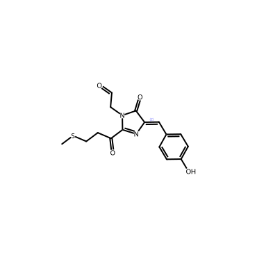 CSCCC(=O)C1=N/C(=C\c2ccc(O)cc2)C(=O)N1CC=O